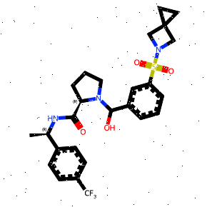 C[C@@H](NC(=O)[C@H]1CCCN1C(O)c1cccc(S(=O)(=O)N2CC3(CC3)C2)c1)c1ccc(C(F)(F)F)cc1